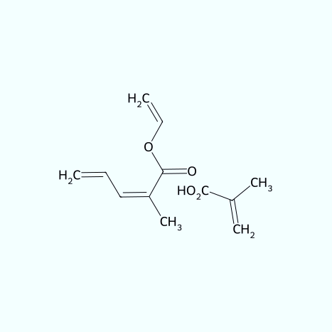 C=C(C)C(=O)O.C=CC=C(C)C(=O)OC=C